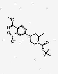 COC(=O)c1ccc(N2CCN(C(=O)OC(C)(C)C)C(C)C2)cc1[N+](=O)[O-]